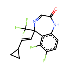 O=C1C=NC(C=CC2CC2)(C(F)(F)F)c2c(ccc(F)c2F)N1